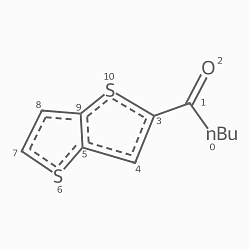 CCCCC(=O)c1cc2sccc2s1